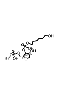 CC(C)OP(=O)(O)OC[C@H]1OC[C@H](O)[C@@H]1OP(=O)(O)OCCCCCCO